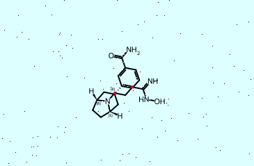 N=C(CCCN1[C@@H]2CC[C@H]1C[C@@H](c1cccc(C(N)=O)c1)C2)NO